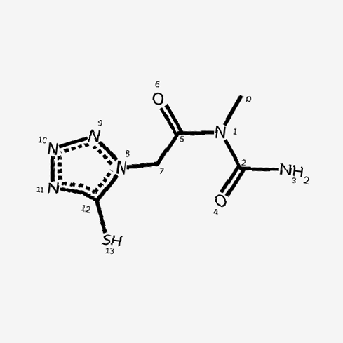 CN(C(N)=O)C(=O)Cn1nnnc1S